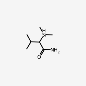 CC(C)C(C(N)=O)[SiH](C)C